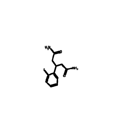 NC(=O)CC(CC(N)=O)c1ccccc1I